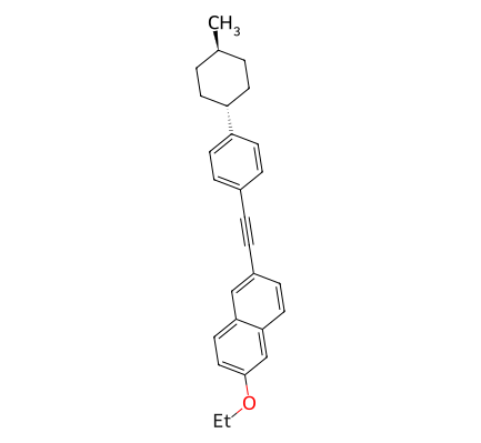 CCOc1ccc2cc(C#Cc3ccc([C@H]4CC[C@H](C)CC4)cc3)ccc2c1